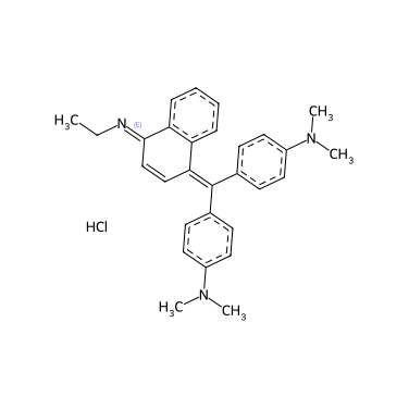 CC/N=C1\C=CC(=C(c2ccc(N(C)C)cc2)c2ccc(N(C)C)cc2)c2ccccc21.Cl